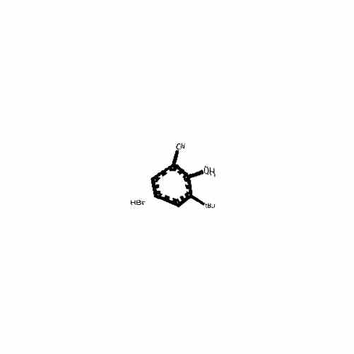 Br.CC(C)(C)c1cccc(C#N)c1O